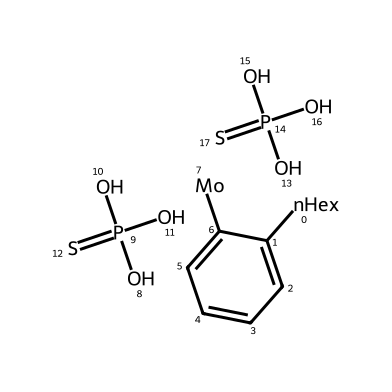 CCCCCCc1cccc[c]1[Mo].OP(O)(O)=S.OP(O)(O)=S